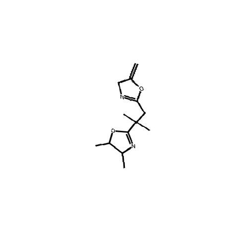 C=C1CN=C(CC(C)(C)C2=NC(C)C(C)O2)O1